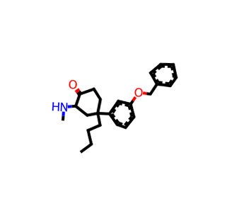 CCCCC1(c2cccc(OCc3ccccc3)c2)CCC(=O)C(NC)C1